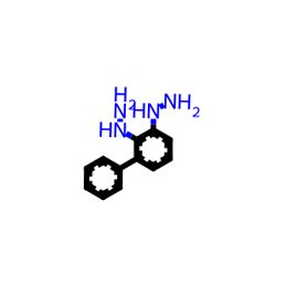 NNc1cccc(-c2ccccc2)c1NN